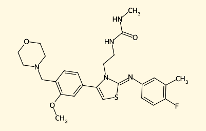 CNC(=O)NCCn1c(-c2ccc(CN3CCOCC3)c(OC)c2)cs/c1=N\c1ccc(F)c(C)c1